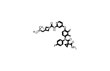 CN(C)CC1CN(C(=O)Nc2cc(Oc3ccc(N(C(=O)C4(C(N)=O)CC4)c4ccc(F)cc4)c(F)c3F)ccn2)C1